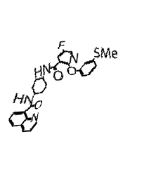 CSc1cccc(Oc2ncc(F)cc2C(=O)N[C@H]2CC[C@@H](NC(=O)c3cccc4cccnc34)CC2)c1